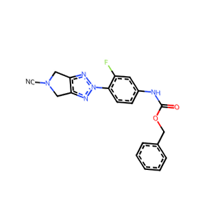 N#CN1Cc2nn(-c3ccc(NC(=O)OCc4ccccc4)cc3F)nc2C1